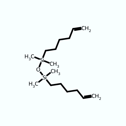 C=CCCCC[Si](C)(C)O[Si](C)(C)CCCCC=C